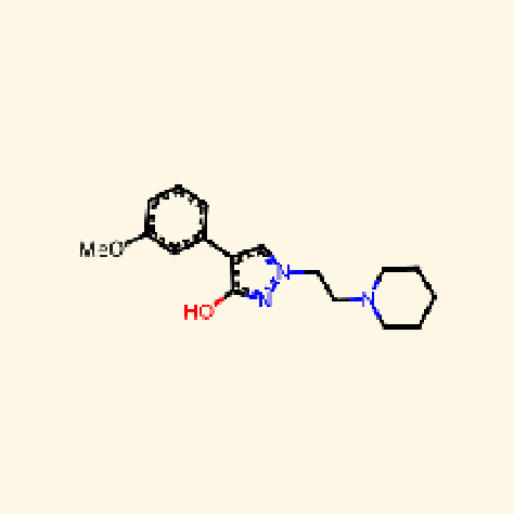 COc1cccc(-c2cn(CCN3CCCCC3)nc2O)c1